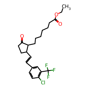 CCOC(=O)CCCCCCC1C(=O)CCC1/C=C/c1ccc(Cl)c(C(F)(F)F)c1